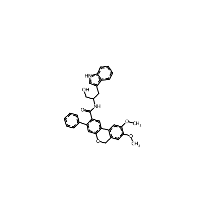 COc1cc2c(cc1OC)-c1cc(C(=O)NC(CO)Cc3c[nH]c4ccccc34)c(-c3ccccc3)cc1OC2